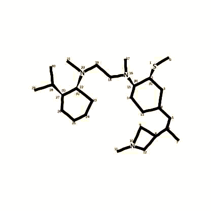 CS[C@H]1CC(CC(C)C2CN(C)C2)CC[C@H]1N(C)CCN(C)[C@H]1CCCC[C@H]1C(C)C